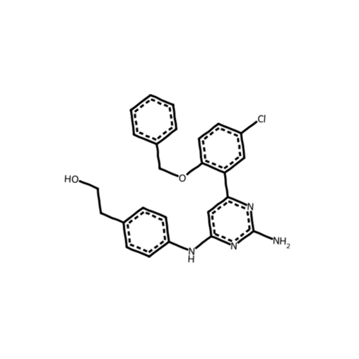 Nc1nc(Nc2ccc(CCO)cc2)cc(-c2cc(Cl)ccc2OCc2ccccc2)n1